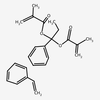 C=C(C)C(=O)OC(CC)(OC(=O)C(=C)C)c1ccccc1.C=Cc1ccccc1